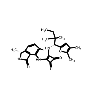 CCC(C)(C)[C@@H](Nc1c(Nc2c(F)ccc3c2C(=O)N[C@@H]3C)c(=O)c1=O)c1cc(C)c(C)o1